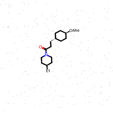 CCC1CCN(C(=O)CC[C@H]2CC[C@H](OC)CC2)CC1